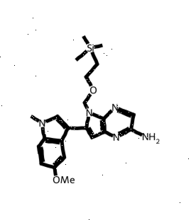 COc1ccc2c(c1)c(-c1cc3nc(N)cnc3n1COCC[Si](C)(C)C)cn2C